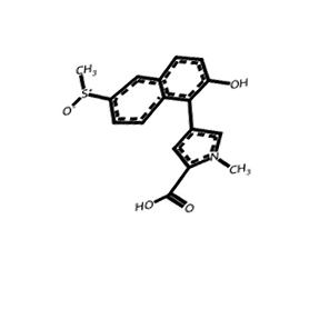 Cn1cc(-c2c(O)ccc3cc([S+](C)[O-])ccc23)cc1C(=O)O